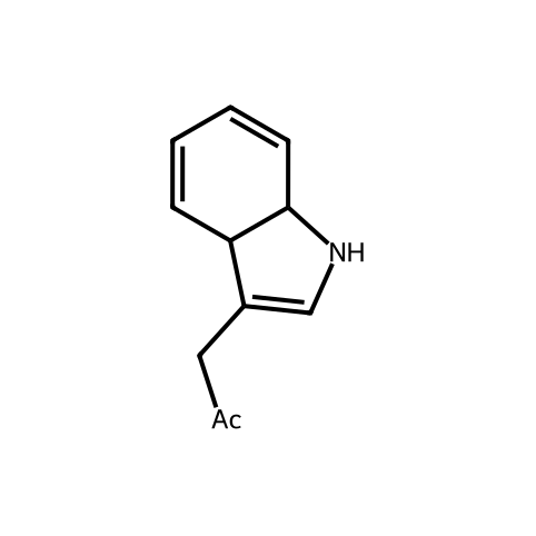 CC(=O)CC1=CNC2C=CC=CC12